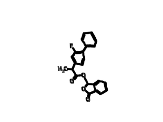 CC(C(=O)OC1OC(=O)c2ccccc21)c1ccc(-c2ccccc2)c(F)c1